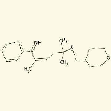 CC(=CCC(C)(C)SCC1CCOCC1)C(=N)c1ccccc1